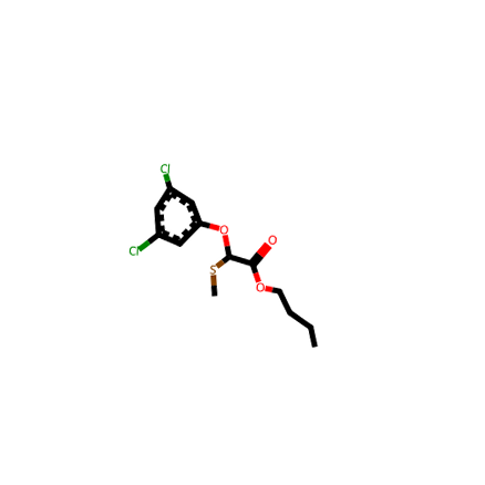 CCCCOC(=O)C(Oc1cc(Cl)cc(Cl)c1)SC